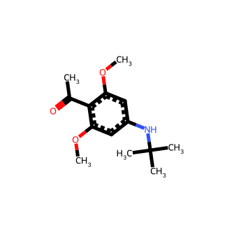 COc1cc(NC(C)(C)C)cc(OC)c1C(C)=O